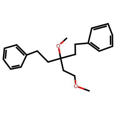 COCCC(CCc1ccccc1)(CCc1ccccc1)OC